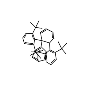 CC(C)(C)c1cccc(C(C)(C)C)c1C1[C]=CC=CC1(c1ccccc1)c1c(C(C)(C)C)cccc1C(C)(C)C